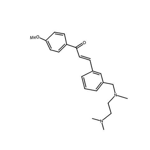 COc1ccc(C(=O)C=Cc2cccc(CN(C)CCN(C)C)c2)cc1